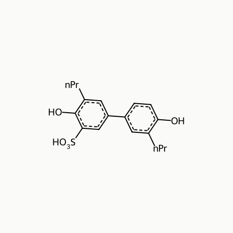 CCCc1cc(-c2cc(CCC)c(O)c(S(=O)(=O)O)c2)ccc1O